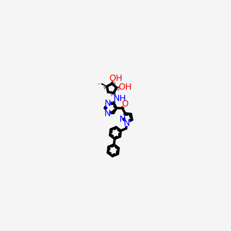 [CH2][C@@H]1C[C@@H](Nc2ncncc2C(=O)c2ccn(Cc3cccc(-c4ccccc4)c3)n2)[C@H](O)[C@@H]1O